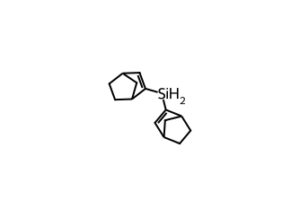 C1=C([SiH2]C2=CC3CCC2C3)C2CCC1C2